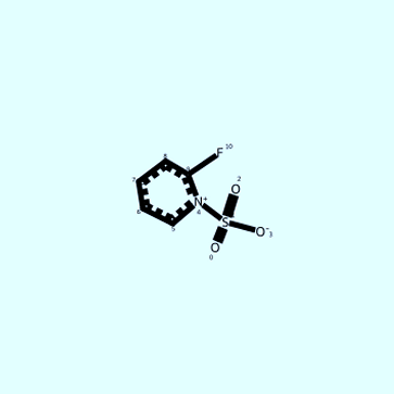 O=S(=O)([O-])[n+]1ccccc1F